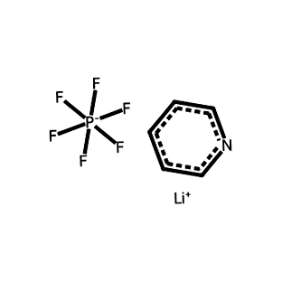 F[P-](F)(F)(F)(F)F.[Li+].c1ccncc1